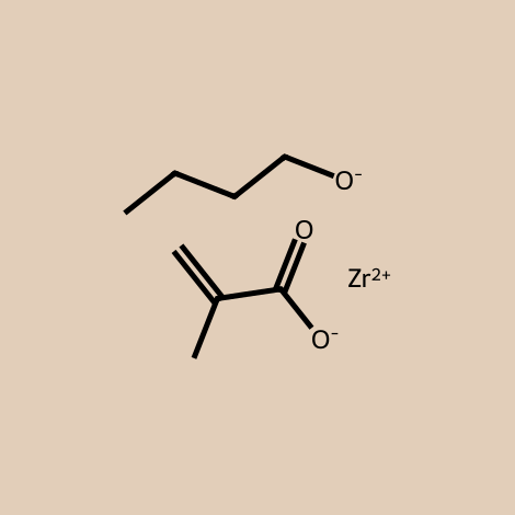 C=C(C)C(=O)[O-].CCCC[O-].[Zr+2]